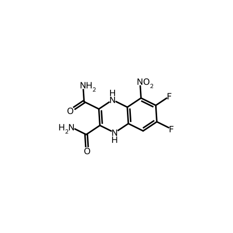 NC(=O)C1=C(C(N)=O)Nc2c(cc(F)c(F)c2[N+](=O)[O-])N1